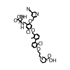 Cc1c(COc2cc(OCc3cncc(C#N)c3)c(CN[C@](C)(CO)C(=O)O)cc2Cl)cccc1-c1cccc(OCCCN2CCC[C@H](C(=O)O)C2)c1Cl